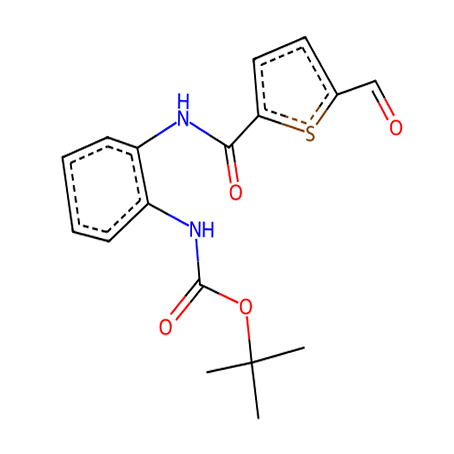 CC(C)(C)OC(=O)Nc1ccccc1NC(=O)c1ccc(C=O)s1